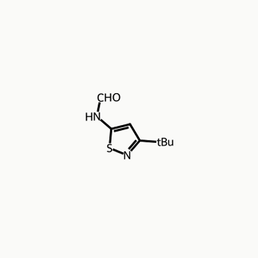 CC(C)(C)c1cc(NC=O)sn1